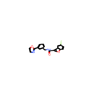 O=C(NCc1cccc(-c2ncco2)c1)C1C2Oc3ccc(F)cc3C21